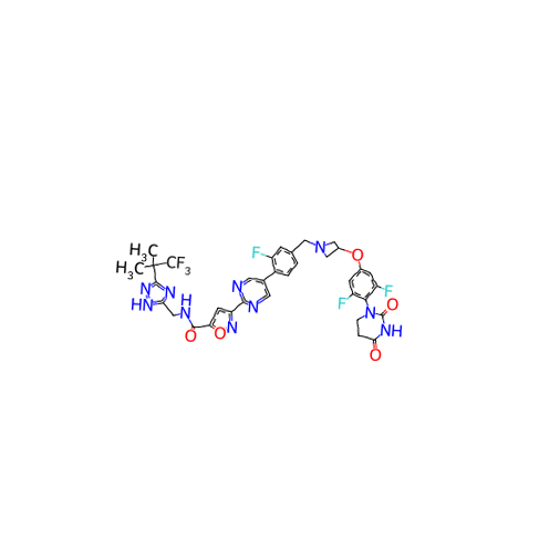 CC(C)(c1n[nH]c(CNC(=O)c2cc(-c3ncc(-c4ccc(CN5CC(Oc6cc(F)c(N7CCC(=O)NC7=O)c(F)c6)C5)cc4F)cn3)no2)n1)C(F)(F)F